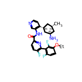 CCOc1ccc(F)c(-c2nc(C(=O)Nc3cnccc3[C@@H]3C[C@H](C)C[C@@H](N)C3)ccc2F)c1F